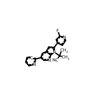 CC(C)(C#N)n1c(-c2ccnc(F)c2)cc2cc(-c3ccccn3)cnc21